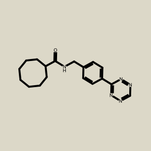 O=C(NCc1ccc(-c2nncnn2)cc1)C1CCCCCCC1